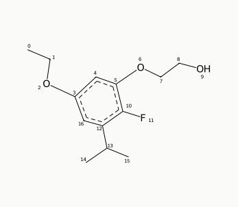 CCOc1cc(OCCO)c(F)c(C(C)C)c1